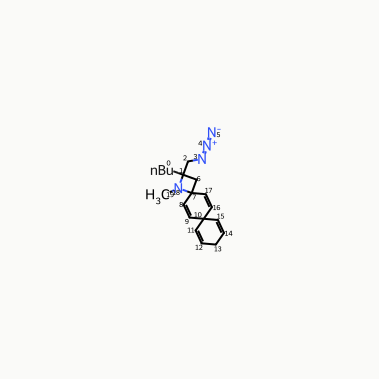 CCCCC1(CN=[N+]=[N-])CC2(C=CC3(C=CCC=C3)C=C2)N1C